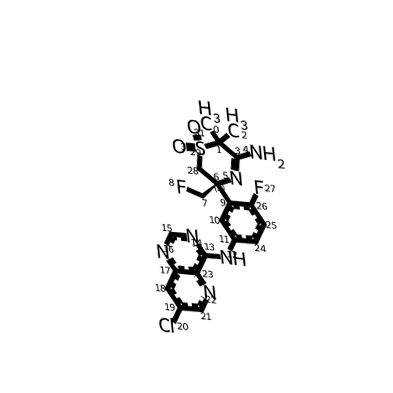 CC1(C)C(N)=N[C@](CF)(c2cc(Nc3ncnc4cc(Cl)cnc34)ccc2F)CS1(=O)=O